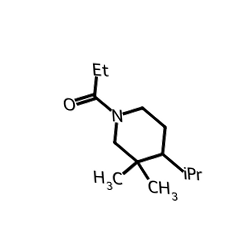 CCC(=O)N1CCC(C(C)C)C(C)(C)C1